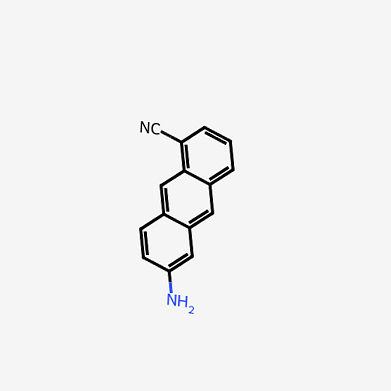 N#Cc1cccc2cc3cc(N)ccc3cc12